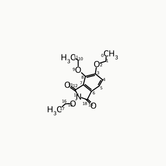 CCOc1ccc2c(c1OCC)C(=O)N(OCC)C2=O